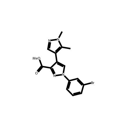 COC(=O)c1nn(-c2cccc(Br)c2)cc1-c1cnn(C)c1C